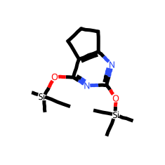 C[Si](C)(C)Oc1nc2c(c(O[Si](C)(C)C)n1)CCC2